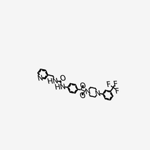 O=C(NCc1cccnc1)Nc1ccc(S(=O)(=O)N2CCN(c3cccc(C(F)(F)F)c3)CC2)cc1